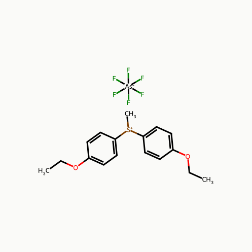 CCOc1ccc([S+](C)c2ccc(OCC)cc2)cc1.F[As-](F)(F)(F)(F)F